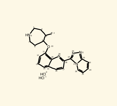 Cl.Cl.FC1CCNCCC1Oc1cccc2ccc(-c3nnc4ccccn34)nc12